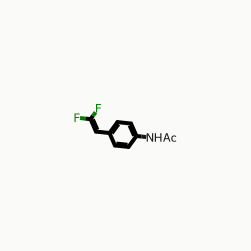 CC(=O)Nc1ccc(C=C(F)F)cc1